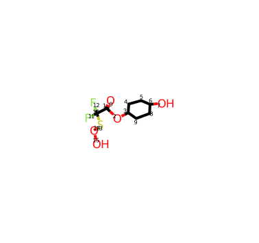 O=C(OC1CCC(O)CC1)C(F)(F)SOO